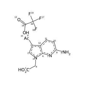 CC(=O)c1cn(CC(=O)O)c2nc(N)ccc12.O=C(O)C(F)(F)F